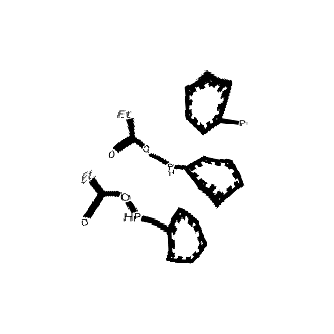 CCC(=O)OPc1ccccc1.CCC(=O)OPc1ccccc1.[P]c1ccccc1